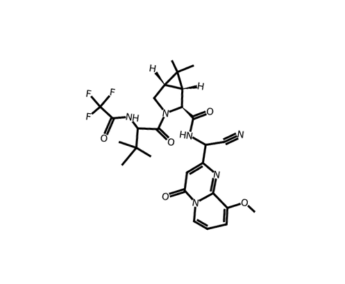 COc1cccn2c(=O)cc(C(C#N)NC(=O)[C@@H]3[C@@H]4[C@H](CN3C(=O)C(NC(=O)C(F)(F)F)C(C)(C)C)C4(C)C)nc12